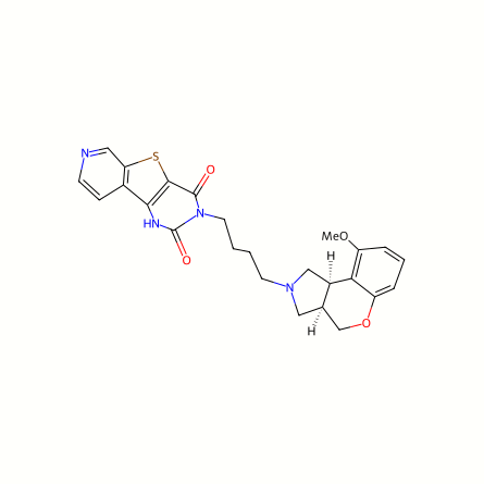 COc1cccc2c1[C@@H]1CN(CCCCn3c(=O)[nH]c4c(sc5cnccc54)c3=O)C[C@@H]1CO2